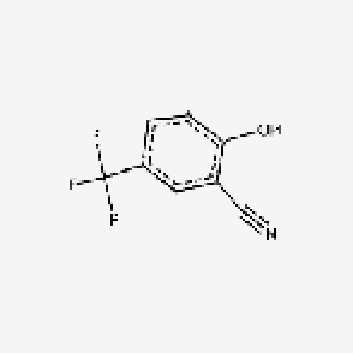 N#Cc1cc(C(F)(F)F)c[c]c1O